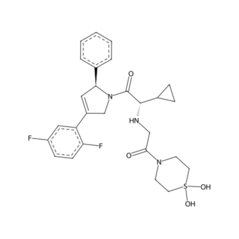 O=C(CN[C@H](C(=O)N1CC(c2cc(F)ccc2F)=C[C@H]1c1ccccc1)C1CC1)N1CCS(O)(O)CC1